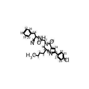 CCCCC1CN(CC(=O)NC(C#N)Cc2ccccc2)C(=O)c2cc(-c3ccc(Cl)cc3)nn21